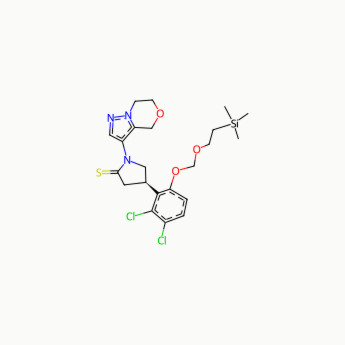 C[Si](C)(C)CCOCOc1ccc(Cl)c(Cl)c1[C@H]1CC(=S)N(c2cnn3c2COCC3)C1